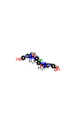 Cc1c(NC(=O)c2nc3c(n2C)CCN(C2CCC(O)CC2)C3)cccc1-c1cccc(NC(=O)c2nc3c(n2C)CCN(CC2CCC(C(=O)O)CC2)C3)c1Cl